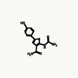 NC(=O)Nc1sc(-c2ccc(O)cc2)cc1C(N)=O